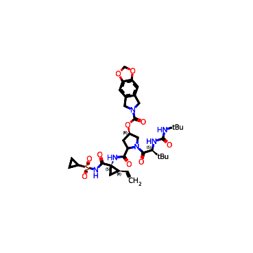 C=C[C@H]1C[C@@]1(NC(=O)C1C[C@@H](OC(=O)N2Cc3cc4c(cc3C2)OCO4)CN1C(=O)[C@@H](NC(=O)NC(C)(C)C)C(C)(C)C)C(=O)NS(=O)(=O)C1CC1